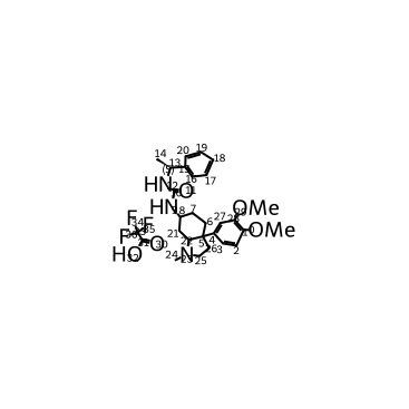 COc1ccc(C23CCC(NC(=O)N[C@@H](C)c4ccccc4)CC2N(C)CC3)cc1OC.O=C(O)C(F)(F)F